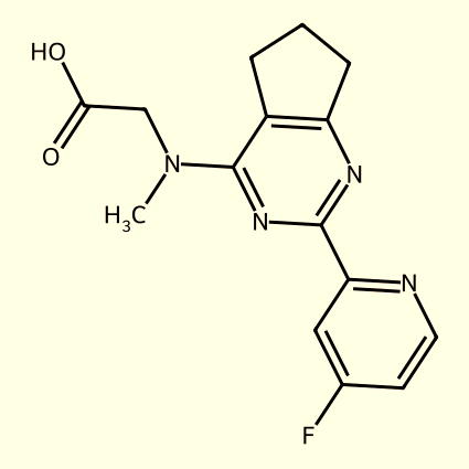 CN(CC(=O)O)c1nc(-c2cc(F)ccn2)nc2c1CCC2